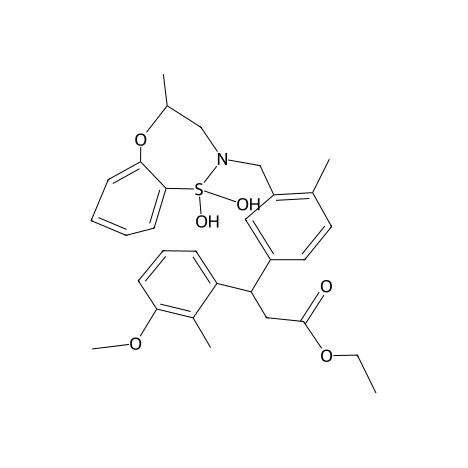 CCOC(=O)CC(c1ccc(C)c(CN2CC(C)Oc3ccccc3S2(O)O)c1)c1cccc(OC)c1C